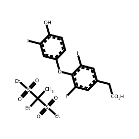 CCC(C)(S(=O)(=O)CC)S(=O)(=O)CC.O=C(O)Cc1cc(I)c(Oc2ccc(O)c(I)c2)c(I)c1